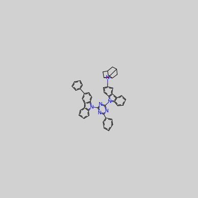 c1ccc(-c2ccc3c(c2)c2ccccc2n3-c2nc(-c3ccccc3)nc(-n3c4ccccc4c4cc(N5C6CC7CC(C6)CC5C7)ccc43)n2)cc1